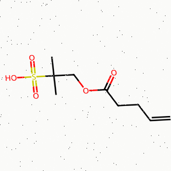 C=CCCC(=O)OCC(C)(C)S(=O)(=O)O